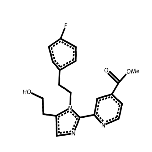 COC(=O)c1ccnc(-c2ncc(CCO)n2CCc2ccc(F)cc2)c1